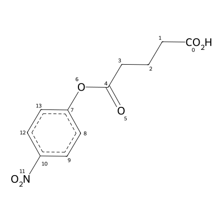 O=C(O)CCCC(=O)Oc1ccc([N+](=O)[O-])cc1